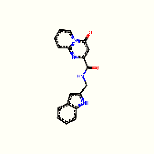 O=C(NCc1cc2ccccc2[nH]1)c1cc(=O)n2ccccc2n1